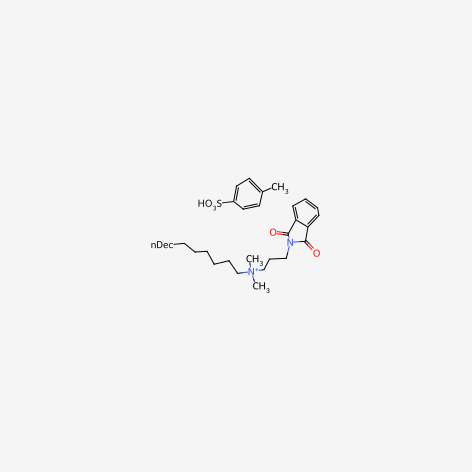 CCCCCCCCCCCCCCCC[N+](C)(C)CCCN1C(=O)c2ccccc2C1=O.Cc1ccc(S(=O)(=O)O)cc1